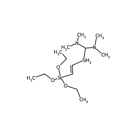 CCO[Si](C=C[SiH2]C(N(C)C)N(C)C)(OCC)OCC